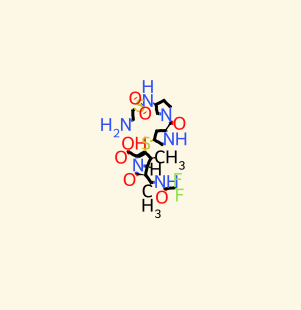 C[C@@H](NC(=O)C(F)F)[C@H]1C(=O)N2C(C(=O)O)=C(S[C@@H]3CN[C@H](C(=O)N4CC[C@H](NS(=O)(=O)CCN)C4)C3)[C@H](C)[C@@H]12